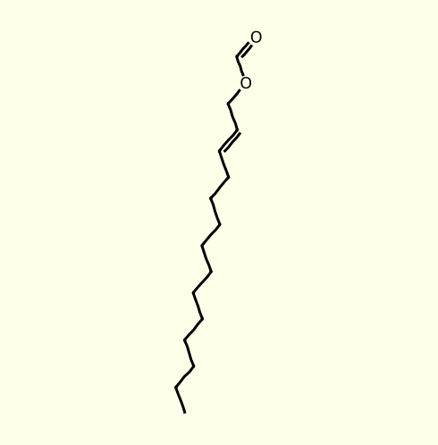 CCCCCCCCCCC/C=C/COC=O